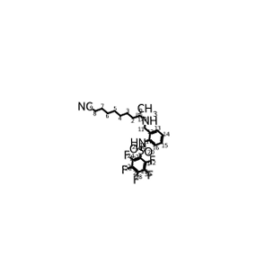 C[C@@H](CCCCCCCC#N)NCc1ccccc1NS(=O)(=O)c1c(F)c(F)c(F)c(F)c1F